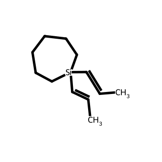 CC=C[Si]1(C=CC)CCCCCC1